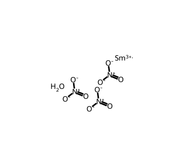 O.O=[N+]([O-])[O-].O=[N+]([O-])[O-].O=[N+]([O-])[O-].[Sm+3]